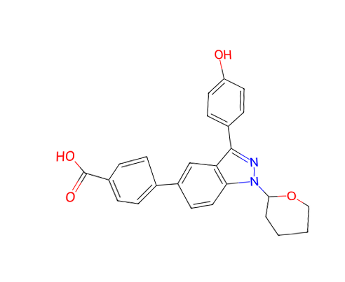 O=C(O)c1ccc(-c2ccc3c(c2)c(-c2ccc(O)cc2)nn3C2CCCCO2)cc1